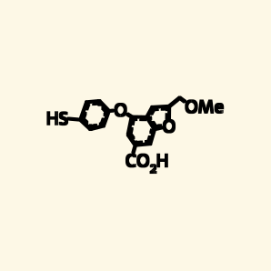 COCc1cc2c(Oc3ccc(S)cc3)cc(C(=O)O)cc2o1